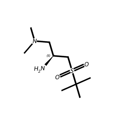 CN(C)C[C@H](N)CS(=O)(=O)C(C)(C)C